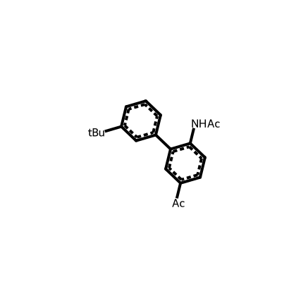 CC(=O)Nc1ccc(C(C)=O)cc1-c1cccc(C(C)(C)C)c1